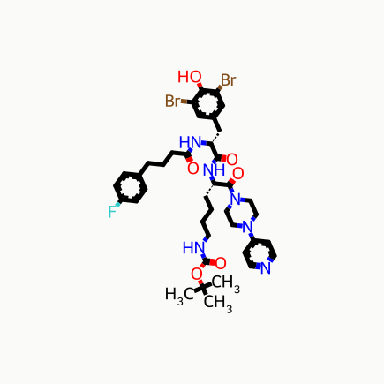 CC(C)(C)OC(=O)NCCCC[C@H](NC(=O)[C@@H](Cc1cc(Br)c(O)c(Br)c1)NC(=O)CCCc1ccc(F)cc1)C(=O)N1CCN(c2ccncc2)CC1